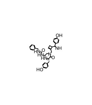 N=C(c1ccc(O)cc1)C1CC=C1CN1CC(NC(=O)NCc2ccccc2)N[C@@H](Cc2ccc(O)cc2)C1=O